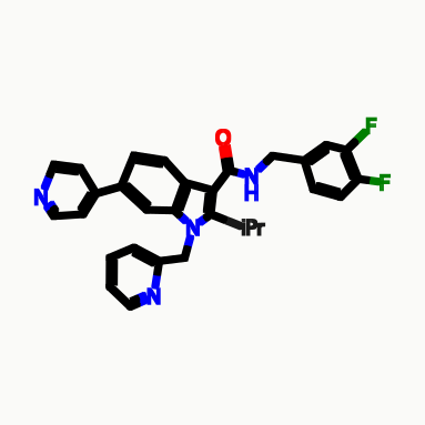 CC(C)c1c(C(=O)NCc2ccc(F)c(F)c2)c2ccc(-c3ccncc3)cc2n1Cc1ccccn1